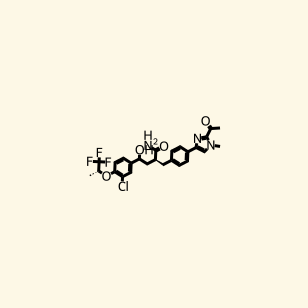 CC(=O)c1nc(-c2ccc(C[C@@H](CC(O)c3ccc(O[C@H](C)C(F)(F)F)c(Cl)c3)C(N)=O)cc2)cn1C